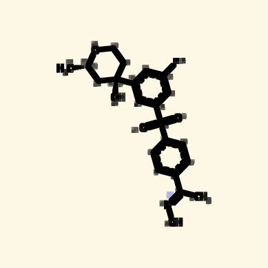 C/C(=N\O)c1ccc(S(=O)(=O)c2cc(F)cc([C@@]3(O)CCO[C@@H](C)C3)c2)cc1